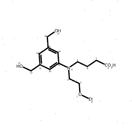 CCOCCN(CCCC(=O)O)c1cc(CO)cc(CO)c1